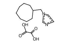 O=C(O)C(=O)O.c1cn(CC2CCCCCCC2)cn1